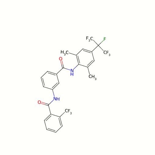 Cc1cc(C(F)(C(F)(F)F)C(F)(F)F)cc(C)c1NC(=O)c1cccc(NC(=O)c2ccccc2C(F)(F)F)c1